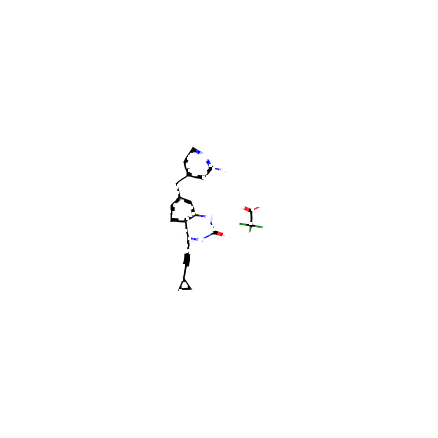 Nc1cc(Cc2ccc3c(c2)NC(=O)N[C@]3(C#CC2CC2)C(F)(F)F)ccn1.O=C(O)C(F)(F)F